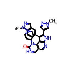 CC(=O)N1CCC(N2C(=O)NCc3cnc4[nH]c(-c5cnn(C)c5)c(-c5ccc6c(cnn6C(C)C)c5)c4c32)CC1